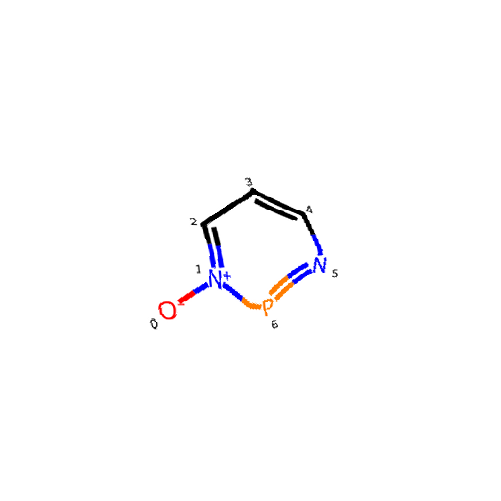 [O-][n+]1cccnp1